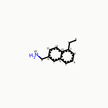 CCc1cccc2cc(CN)ccc12